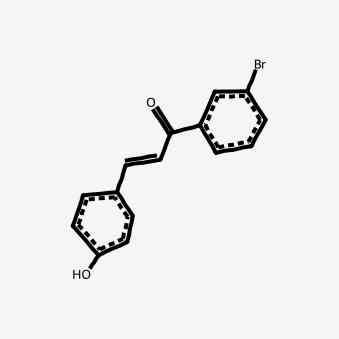 O=C(C=Cc1ccc(O)cc1)c1cccc(Br)c1